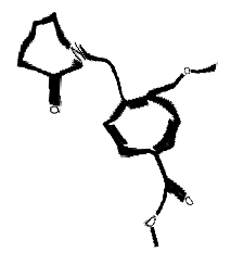 COC(=O)c1ccc(CN2CCCC2=O)c(OC)c1